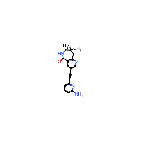 CC1(C)CNC(=O)c2cc(C#Cc3cccc(N)n3)cnc2C1